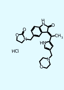 C/C(=C1\C(=O)Nc2ccc(CN3CCOC3=O)cc21)c1cc(CN2CCOCC2)c[nH]1.Cl